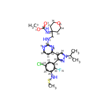 COC(=O)NC1(CNc2nccc(-c3cn(C(C)C)nc3-c3cc(Cl)cc(NSC)c3F)n2)CCOCC1